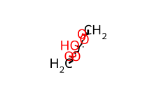 C=CC(=O)OCC[C](O)CCOC(=O)C=C